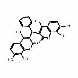 O=c1oc2c(O)c(O)ccc2c(O)c1C(c1ccccc1)c1c(O)c2ccc(O)c(O)c2oc1=O